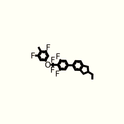 CCC1Cc2ccc(-c3cc(F)c(C(F)(F)Oc4cc(F)c(C)c(F)c4)c(F)c3)cc2C1